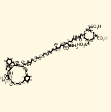 CC(C)C[C@@H]1NC(=O)C(C)(C)NC(=O)CCSCc2cccc(c2)CSC[C@@H](C(=O)NCCCOCCOCCOCCCNC(=O)CCC(=O)N[C@@H](CCCCNC(=O)CN2CCN(CC(=O)O)CCN(CC(=O)O)CCN(CC(=O)O)CC2)C(N)=O)NC(=O)[C@H](CC2CCCCC2)NC1=O